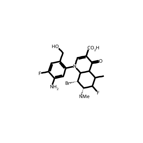 CN[C@H]1C(F)C(C)C2C(=O)C(C(=O)O)=CN(c3cc(N)c(F)cc3CO)C2[C@H]1Br